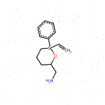 C=C[Si]1(c2ccccc2)CCCC(CN)O1